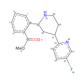 COC(=O)c1ccccc1C1CC(c2ccc(F)cn2)CCN1